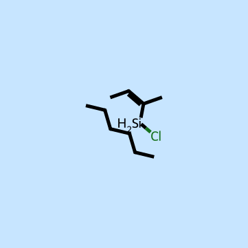 CC=C(C)[SiH2]Cl.CCCCCC